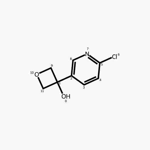 OC1(c2ccc(Cl)nc2)COC1